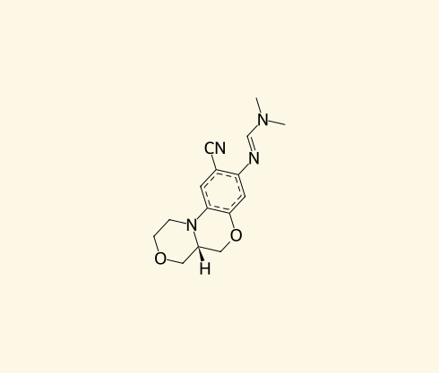 CN(C)/C=N/c1cc2c(cc1C#N)N1CCOC[C@H]1CO2